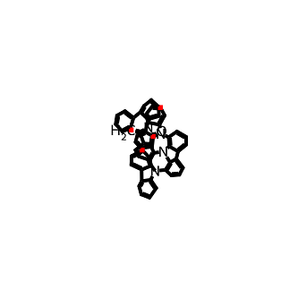 C=C1c2cccc(-n3c4c(-n5c6ccccc6c6ccccc65)cccc4c4cccc(-n5c6ccccc6c6ccccc65)c43)c2C(=O)N1c1ccccc1-c1ccccc1